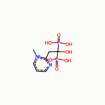 C[n+]1cccnc1CC(O)(P(=O)(O)O)P(=O)(O)O